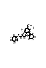 Cc1ccc2c(c1)c1c(n2CC(O)CSc2ccccn2)CCCC1